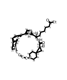 CCC(=O)CCCCC[C@@H]1NC(=O)[C@H]2CC23CCN(CCCCN2C4CCC2c2cc(ccc24)-c2cnc1[nH]2)CC3